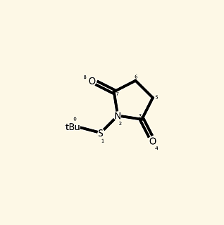 CC(C)(C)SN1C(=O)CCC1=O